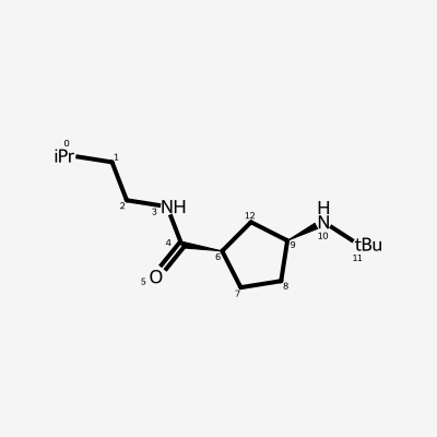 CC(C)CCNC(=O)[C@@H]1CC[C@H](NC(C)(C)C)C1